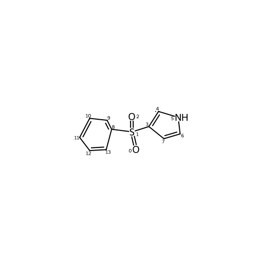 O=S(=O)(c1[c][nH]cc1)c1ccccc1